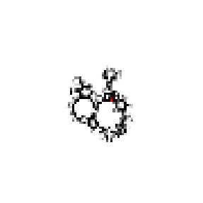 C[C@@H]1[C@@H](C)S(=O)(=O)NC(=O)c2ccc3c(c2)N(Cc2ccc(Cl)c(F)c2CCCCO3)C[C@@H]2CC[C@H]2C2(OCCN3CCOCC3)C=C[C@H]1C2